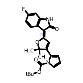 CC(C)(C)OC(=O)n1cccc1C1=C/C(=C2\C(=O)Nc3cc(F)ccc32)OC1(C)C